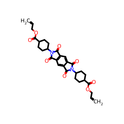 C=CCOC(=O)C1CCC(n2c(=O)c3cc4c(=O)n(C5CCC(C(=O)OCC=C)CC5)c(=O)c4cc3c2=O)CC1